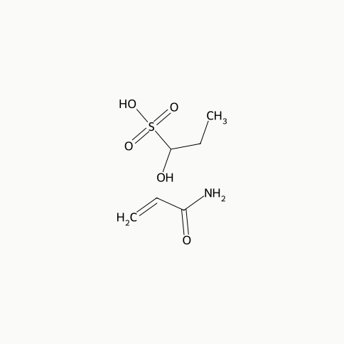 C=CC(N)=O.CCC(O)S(=O)(=O)O